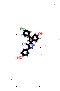 CCC1=C(c2ccc(O)cc2)N=NC1(CC(=O)c1ccc(Br)cc1)c1ccc(O)cc1